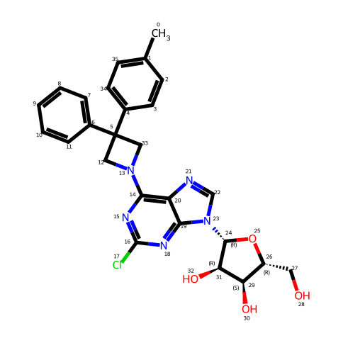 Cc1ccc(C2(c3ccccc3)CN(c3nc(Cl)nc4c3ncn4[C@@H]3O[C@H](CO)[C@@H](O)[C@H]3O)C2)cc1